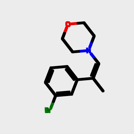 CC(=CN1CCOCC1)c1cccc(Br)c1